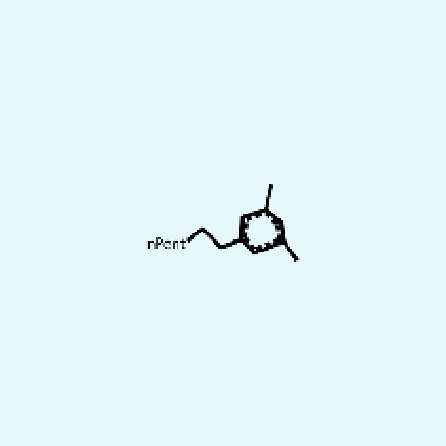 CCCCCCCc1cc(C)cc(C)c1